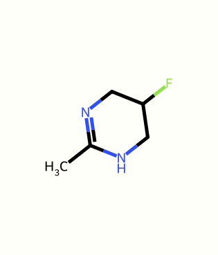 CC1=NCC(F)CN1